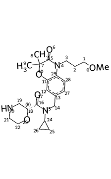 COCCCN1C(=O)C(C)(C)Oc2cc(CN(C(=O)[C@H]3CNCCO3)C3CC3)ccc21